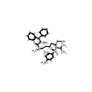 CC(C)N([C@H](CO)CCC[C@H](C)N(C)C(=O)[C@@H](N)C(c1ccccc1)c1ccccc1)S(=O)(=O)c1ccc(N)cc1